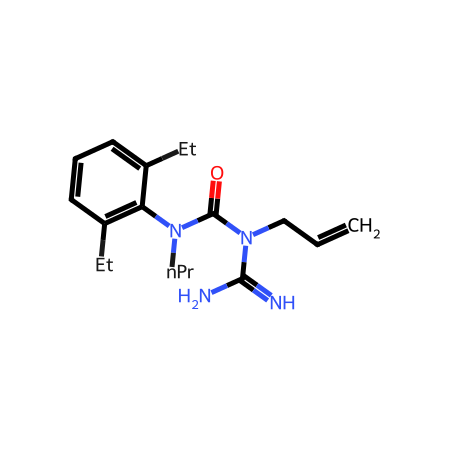 C=CCN(C(=N)N)C(=O)N(CCC)c1c(CC)cccc1CC